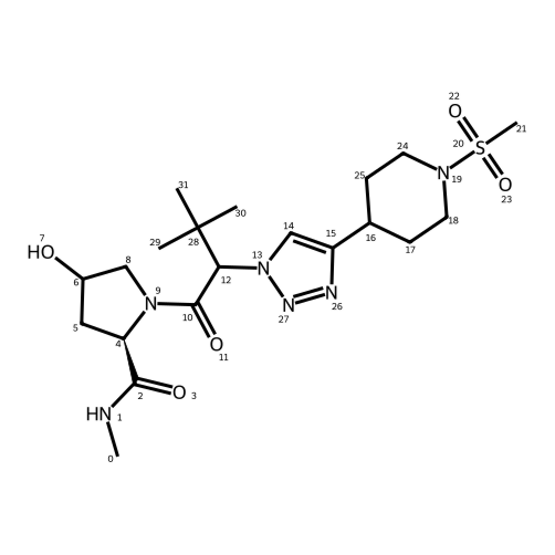 CNC(=O)[C@H]1CC(O)CN1C(=O)C(n1cc(C2CCN(S(C)(=O)=O)CC2)nn1)C(C)(C)C